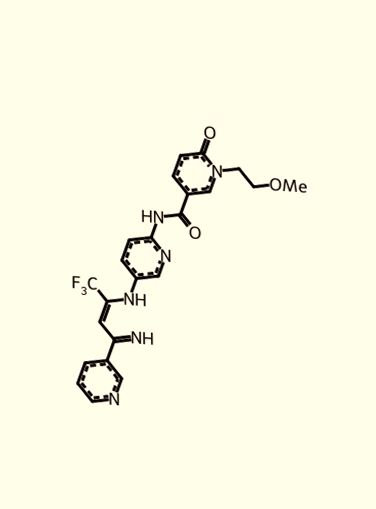 COCCn1cc(C(=O)Nc2ccc(N/C(=C\C(=N)c3cccnc3)C(F)(F)F)cn2)ccc1=O